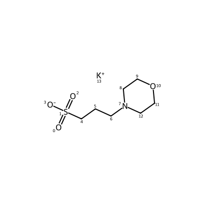 O=S(=O)([O-])CCCN1CCOCC1.[K+]